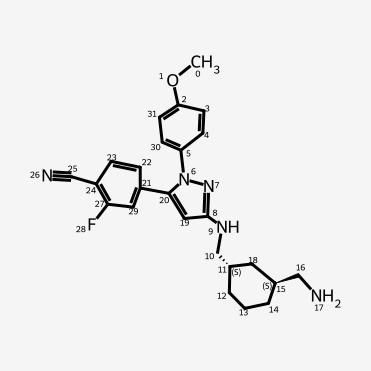 COc1ccc(-n2nc(NC[C@H]3CCC[C@H](CN)C3)cc2-c2ccc(C#N)c(F)c2)cc1